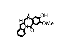 COc1cc2c(cc1O)N(C)C[C@@H]1Cc3ccccc3N1C2=O